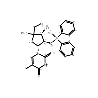 Cc1cn([C@@H]2OC(C=O)(CO)[C@@H](O)[C@H]2O[Si](c2ccccc2)(c2ccccc2)C(C)(C)C)c(=O)[nH]c1=O